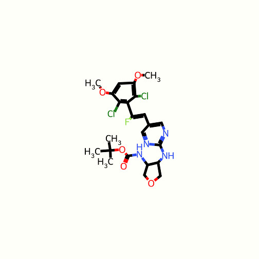 COc1cc(OC)c(Cl)c(/C(F)=C/c2cnc(NC3COCC3NC(=O)OC(C)(C)C)nc2)c1Cl